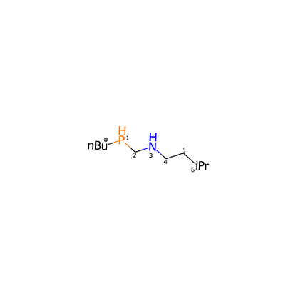 CCCCPCNCCC(C)C